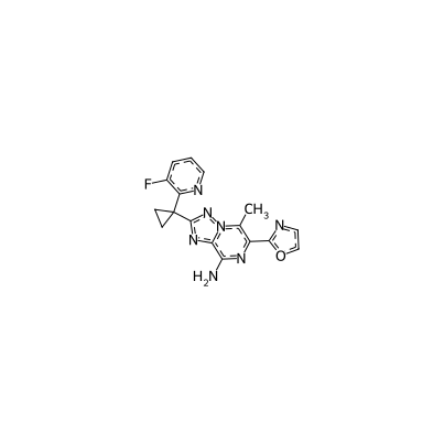 Cc1c(-c2ncco2)nc(N)c2nc(C3(c4ncccc4F)CC3)nn12